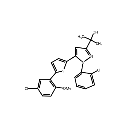 COc1ccc(Cl)cc1-c1ccc(-c2cc(C(C)(C)O)nn2-c2ccccc2Cl)s1